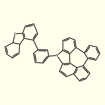 C1=CC2Oc3cccc(-c4cccc(-n5c6cccc7c6c6c8c(cccc8ccc65)-c5ccccc5-7)c4)c3C2C=C1